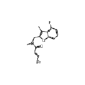 Cc1c(CN(C)C(=O)/C=C/C(C)C)oc2cccc(F)c12